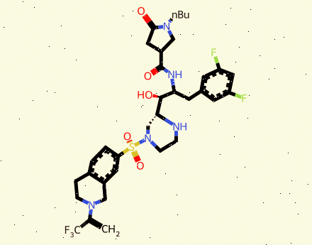 C=C(N1CCc2ccc(S(=O)(=O)N3CCN[C@@H]([C@@H](O)C(Cc4cc(F)cc(F)c4)NC(=O)C4CC(=O)N(CCCC)C4)C3)cc2C1)C(F)(F)F